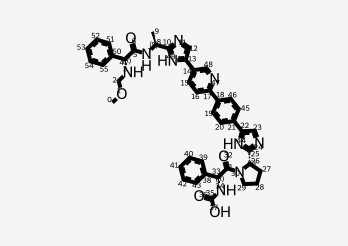 COCN[C@@H](C(=O)N[C@@H](C)c1ncc(-c2ccc(-c3ccc(-c4cnc([C@@H]5CCCN5C(=O)[C@H](NC(=O)O)c5ccccc5)[nH]4)cc3)nc2)[nH]1)c1ccccc1